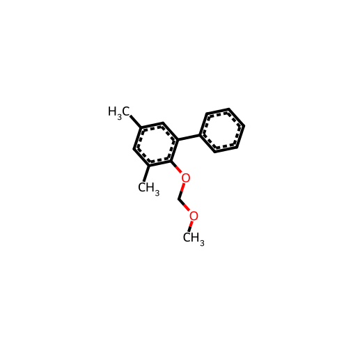 COCOc1c(C)cc(C)cc1-c1ccccc1